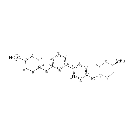 CC(C)(C)[C@H]1CC[C@H](Oc2ccc(-c3cccc(CN4CCC(C(=O)O)CC4)c3)nc2)CC1